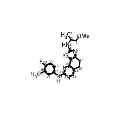 COCC(C)Nc1nc2c(s1)-c1nc(Nc3ccc(F)c(C)c3)ncc1CC2